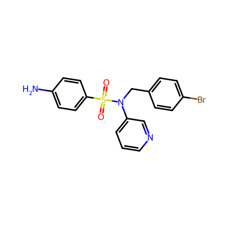 Nc1ccc(S(=O)(=O)N(Cc2ccc(Br)cc2)c2cccnc2)cc1